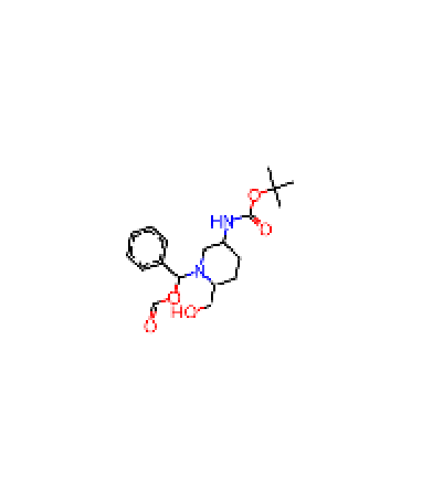 CC(C)(C)OC(=O)NC1CCC(CO)N(C(OC=O)c2ccccc2)C1